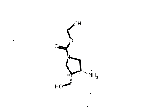 CCOC(=O)N1C[C@@H](CO)[C@@H](N)C1